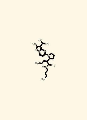 C=C(C)c1c(N)nn2ccc(N3CCCC3/C(=C/CC)C(=C)N(F)CCCC)nc12